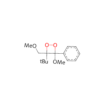 COCC1(C(C)(C)C)OOC1(OC)c1ccccc1